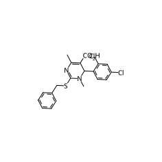 CC1=C(C(=O)O)C(c2ccc(Cl)cc2Cl)N(C)C(SCc2ccccc2)=N1